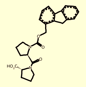 O=C(O)[C@H]1CCCN1C(=O)[C@H]1CCCN1C(=O)OCc1cccc2c1Cc1ccccc1-2